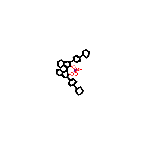 O=P1(O)Oc2c(-c3ccc(C4CCCCC4)cc3)cc3c(c2-c2c4c(cc(-c5ccc(C6CCCCC6)cc5)c2O1)CCCC4)CCCC3